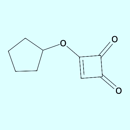 O=c1cc(OC2CCCC2)c1=O